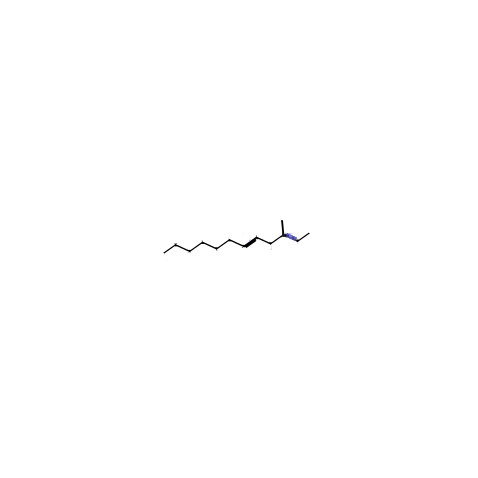 [CH2]/C=C(\C)C/C=C/CCCCCC